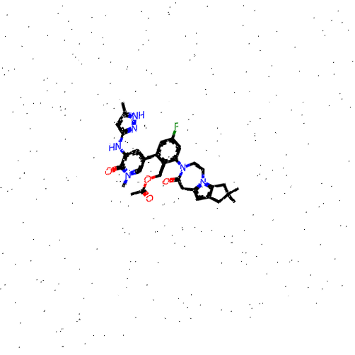 CC(=O)OCc1c(-c2cc(Nc3cc(C)[nH]n3)c(=O)n(C)c2)cc(F)cc1N1CCn2c(cc3c2CC(C)(C)C3)CC1=O